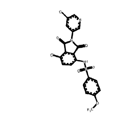 O=C1c2c(Cl)ccc(NS(=O)(=O)c3ccc(OC(F)(F)F)cc3)c2C(=O)N1c1cncc(Cl)c1